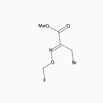 COC(=O)C(CBr)=NOCF